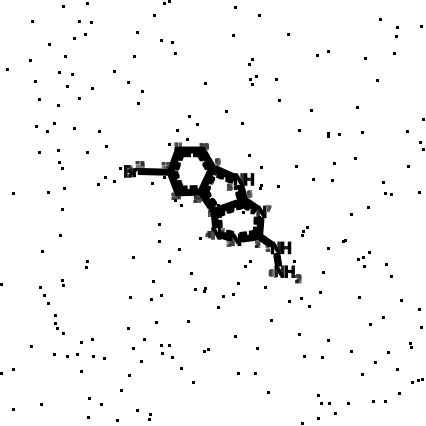 NNc1nnc2c(n1)[nH]c1ccc(Br)cc12